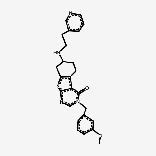 COc1cccc(Cn2cnc3sc4c(c3c2=O)CCC(NCCc2cccnc2)C4)c1